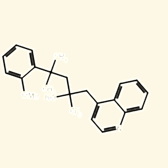 COc1ccccc1C(C)(C)CC(O)(Cc1ccnc2ccccc12)C(F)(F)F